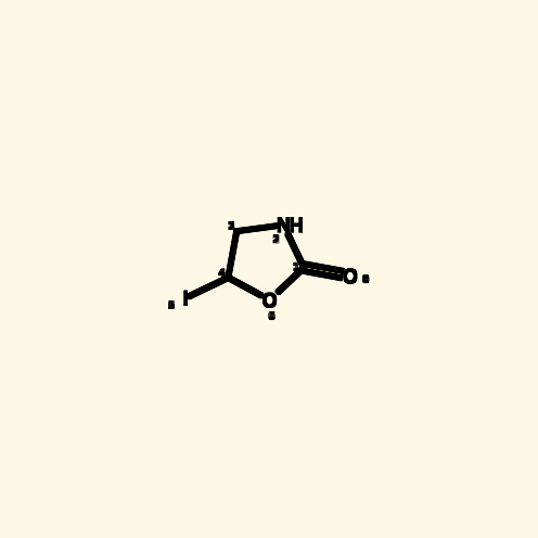 O=C1NCC(I)O1